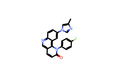 Cc1cn(-c2ccc3ncc4ccc(=O)n(-c5ccc(F)cc5)c4c3c2)cn1